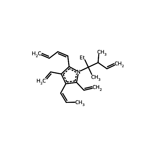 C=C/C=C\c1c(C=C)c(/C=C\C)c(C=C)n1C(C)(CC)C(C)C=C